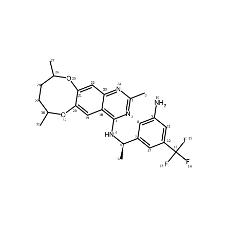 Cc1nc(N[C@H](C)c2cc(N)cc(C(F)(F)F)c2)c2cc3c(cc2n1)OC(C)CCC(C)O3